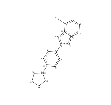 Ic1cccn2cc(-c3ccc(N4CCCC4)cc3)nc12